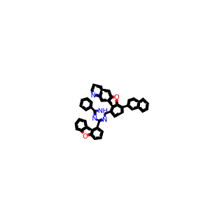 c1ccc(C2=NC(c3cccc4oc5ccccc5c34)=NC(c3ccc(-c4ccc5ccccc5c4)c4oc5cc6cccnc6cc5c34)N2)cc1